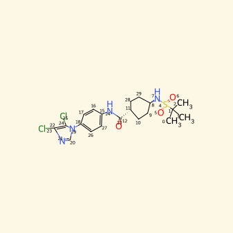 CC(C)(C)S(=O)(=O)N[C@H]1CC[C@H](C(=O)Nc2ccc(-n3cnc(Cl)c3Cl)cc2)CC1